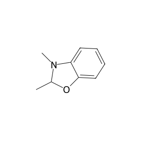 CC1Oc2ccccc2N1C